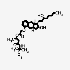 CCCCC[C@H](O)CC[C@@H]1[C@H]2Cc3cccc(OCC(=O)OC(C)CC(=O)NC(C)(C)C)c3C[C@H]2C[C@H]1O